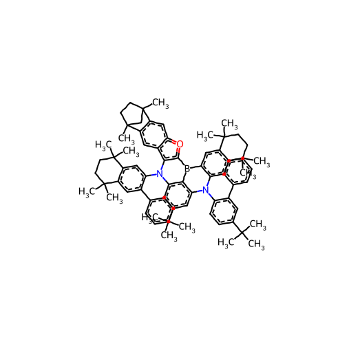 CC(C)(C)c1ccc(N2c3cc4c(cc3B3c5oc6cc7c(cc6c5N(c5cc6c(cc5-c5ccccc5)C(C)(C)CCC6(C)C)c5cc(C(C)(C)C)cc2c53)C2(C)CCC7(C)C2)C(C)(C)CCC4(C)C)c(-c2ccccc2)c1